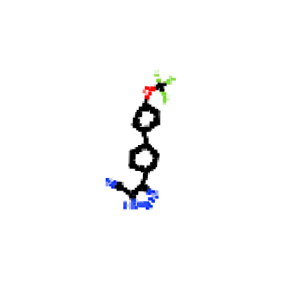 N#Cc1[nH]nnc1-c1ccc(-c2ccc(OC(F)(F)F)cc2)cc1